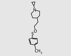 Cc1ccc(SOCCC2CCN(C3CC3)CC2)cc1